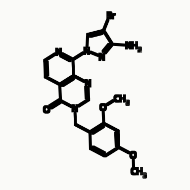 COc1ccc(Cn2cnc3c(-n4cc(Br)c(N)n4)nccc3c2=O)c(OC)c1